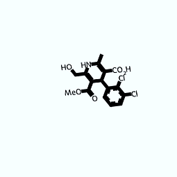 COC(=O)C1=C(CO)NC(C)=C(C(=O)O)C1c1cccc(Cl)c1Cl